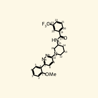 COc1ccccc1-c1ccc(N2CCCC(NC(=O)c3cccc(C(F)(F)F)c3)C2)nn1